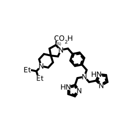 CCC(CC)N1CCC2(CC1)C[C@@H](C(=O)O)N(Cc1ccc(CN(Cc3ncc[nH]3)Cc3ncc[nH]3)cc1)C2